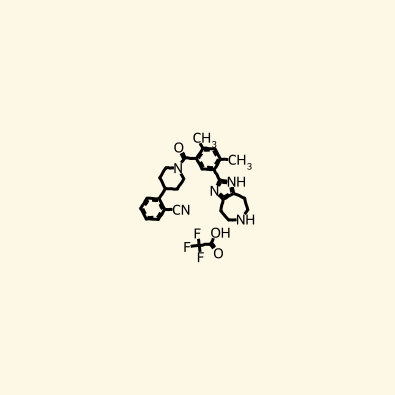 Cc1cc(C)c(-c2nc3c([nH]2)CCNCC3)cc1C(=O)N1CCC(c2ccccc2C#N)CC1.O=C(O)C(F)(F)F